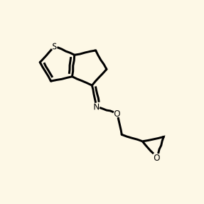 c1cc2c(s1)CC/C2=N\OCC1CO1